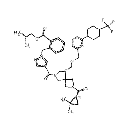 CC(C)COC(=O)c1ccccc1Cn1cc(C(=O)N2C[C@@H](COCc3cccc(C4CCC(C(F)(F)F)CC4)n3)C3(C2)CN(C(=O)[C@H]2CC2(C)C)C3)cn1